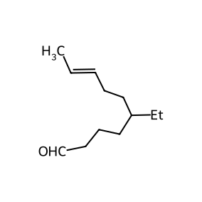 CC=CCCC(CC)CCCC=O